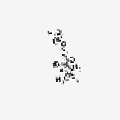 C=CC(=O)OCCOC(=O)C(C)(C=C(C)C)C(C)(C)C